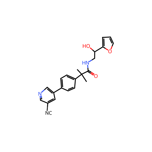 [C-]#[N+]c1cncc(-c2ccc(C(C)(C)C(=O)NCC(O)c3ccco3)cc2)c1